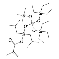 C=C(C)C(=O)O[Si](CC(C)C)(CC(C)C)O[Si](O[Si](C)(C)C)(O[Si](CC)(CC)CC)O[Si](CC)(CC)CC